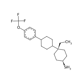 CC[C@]1(C2CCC(c3ccc(OC(F)(F)F)cc3)CC2)CC[C@H]([SiH3])CC1